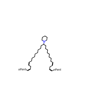 CCCCC/C=C\C/C=C\CCCCCCCCC(CCCCCCCC/C=C\C/C=C\CCCCC)N1CCCCC1